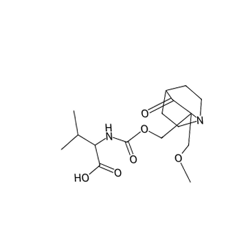 COCC1(COC(=O)NC(C(=O)O)C(C)C)C(=O)C2CCN1CC2